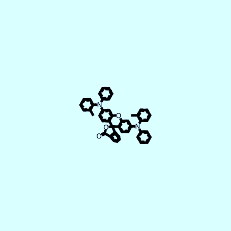 Cc1ccccc1N(c1ccccc1)c1ccc2c(c1)Oc1cc(N(c3ccccc3)c3ccccc3C)ccc1C21OC(=O)c2ccccc21